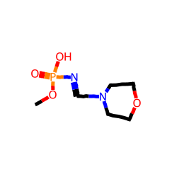 COP(=O)(O)N=CN1CCOCC1